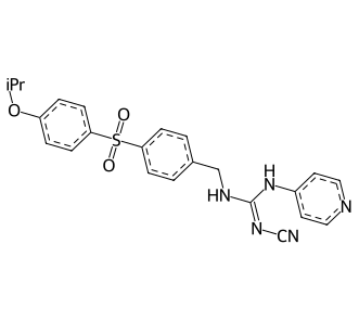 CC(C)Oc1ccc(S(=O)(=O)c2ccc(CNC(=NC#N)Nc3ccncc3)cc2)cc1